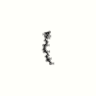 Cc1cc(=O)nc(NC(=O)NCC(C)CC(C)(C)CCNC(=O)OCC(C)OC(=O)NCCC(C)CC(C)(C)CNC(=O)OCCO)[nH]1